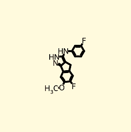 COc1cc2c(cc1F)Cc1c-2n[nH]c1Nc1cccc(F)c1